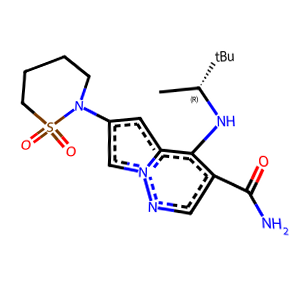 C[C@@H](Nc1c(C(N)=O)cnn2cc(N3CCCCS3(=O)=O)cc12)C(C)(C)C